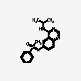 CC(C)Nc1ncnc2ccc(N=S(C)(=O)c3ccccc3)cc12